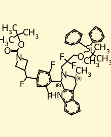 C[C@@H]1Cc2c([nH]c3ccccc23)[C@@H](c2c(F)cc(C(F)C3CN(C(=O)OC(C)(C)C)C3)cc2F)N1CC(F)(F)CO[Si](c1ccccc1)(c1ccccc1)C(C)(C)C